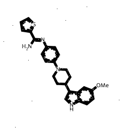 COc1ccc2[nH]cc(C3CCN(c4ccc(/N=C(\N)c5cccs5)cc4)CC3)c2c1